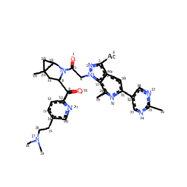 CC(=O)c1nn(CC(=O)N2C(C(=O)c3ccc(CCN(C)C)cn3)CC3(C)CC23)c2c(C)nc(-c3cnc(C)nc3)cc12